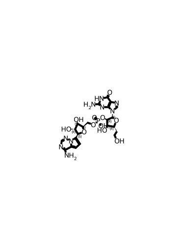 Nc1nc2c(ncn2[C@@H]2O[C@H](CCO)[C@@H](O)[C@H]2OP(=O)(O)OC[C@H]2O[C@@H](c3ccc4c(N)ncnn34)[C@H](O)[C@@H]2O)c(=O)[nH]1